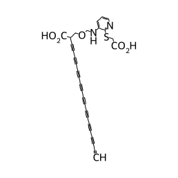 C#CC#CC#CC#CC#CC#CC#CC#CC#CC(COCNc1cccnc1SCC(=O)O)C(=O)O